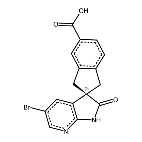 O=C(O)c1ccc2c(c1)C[C@@]1(C2)C(=O)Nc2ncc(Br)cc21